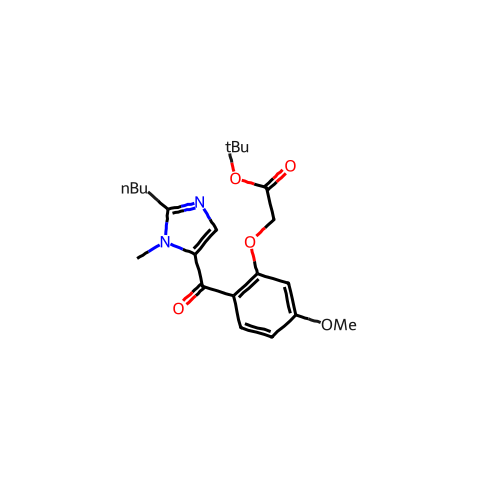 CCCCc1ncc(C(=O)c2ccc(OC)cc2OCC(=O)OC(C)(C)C)n1C